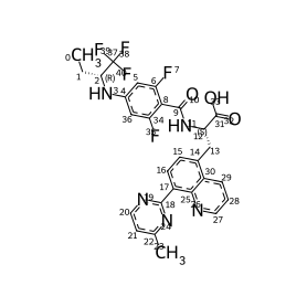 CC[C@@H](Nc1cc(F)c(C(=O)N[C@@H](Cc2ccc(-c3nccc(C)n3)c3ncccc23)C(=O)O)c(F)c1)C(F)(F)F